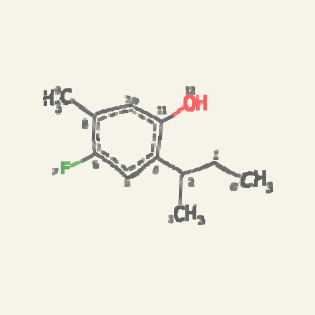 CCC(C)c1cc(F)c(C)cc1O